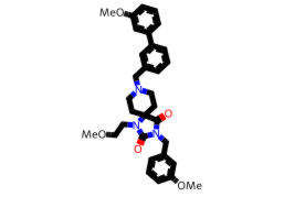 COCCN1C(=O)N(Cc2cccc(OC)c2)C(=O)C12CCN(Cc1cccc(-c3cccc(OC)c3)c1)CC2